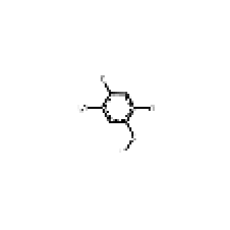 CC(C)Oc1cc(N)c(F)cc1Cl